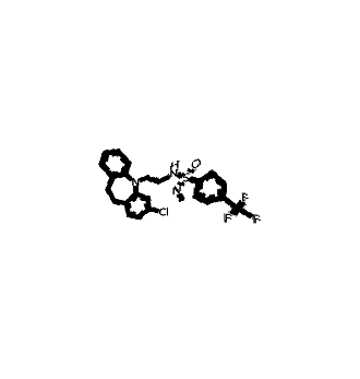 CN=S(=O)(NCCN1c2ccccc2CCc2ccc(Cl)cc21)c1ccc(C(F)(F)F)cc1